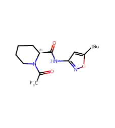 CC(C)(C)c1cc(NC(=O)[C@@H]2CCCCN2C(=O)C(F)(F)F)no1